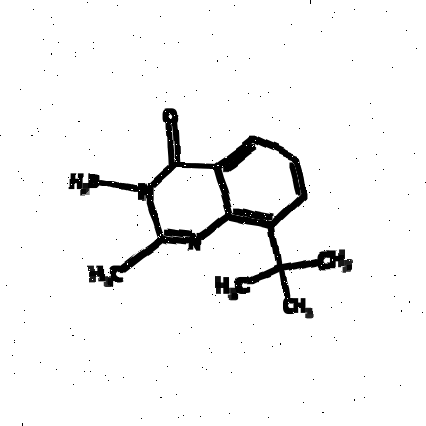 Bn1c(C)nc2c(C(C)(C)C)cccc2c1=O